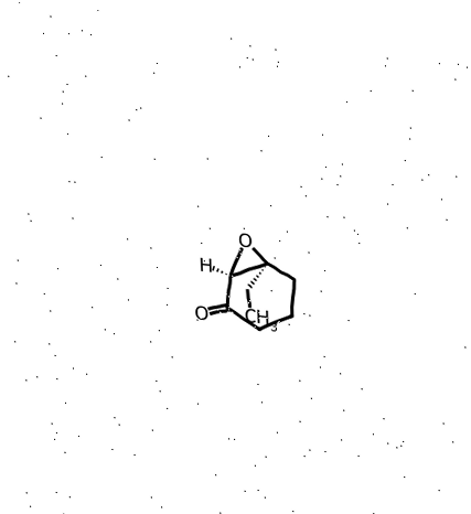 CC[C@]12CCCC(=O)[C@H]1O2